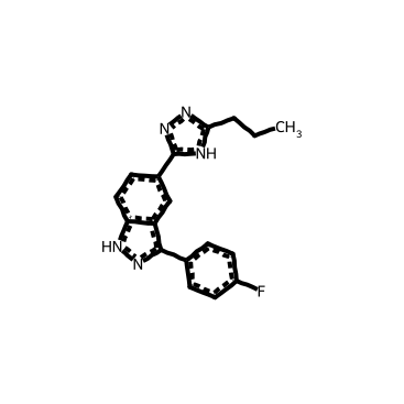 CCCc1nnc(-c2ccc3[nH]nc(-c4ccc(F)cc4)c3c2)[nH]1